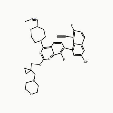 C#Cc1c(F)ccc2cc(O)cc(-c3ccc4c(N5CCCC(/C=N\C)CC5)nc(OCC5(CN6CCOCC6)CC5)nc4c3F)c12